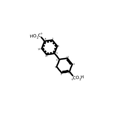 O=C(O)C1=CCC(c2ccc(C(=O)O)cc2)C=C1